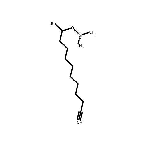 C#CCCCCCCCCC(O[SiH](C)C)C(C)(C)C